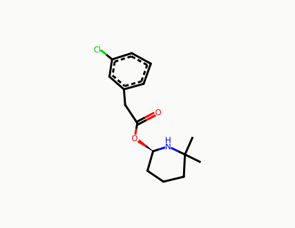 CC1(C)CCC[C@@H](OC(=O)Cc2cccc(Cl)c2)N1